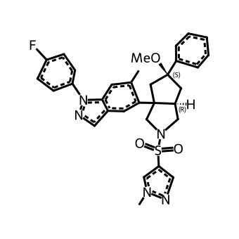 CO[C@@]1(c2ccccc2)C[C@H]2CN(S(=O)(=O)c3cnn(C)c3)CC2(c2cc3cnn(-c4ccc(F)cc4)c3cc2C)C1